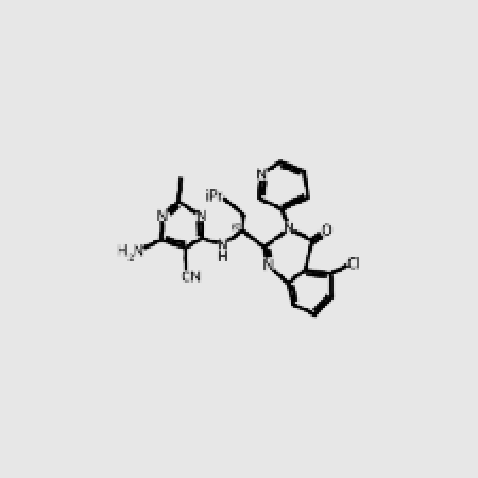 Cc1nc(N)c(C#N)c(N[C@@H](CC(C)C)c2nc3cccc(Cl)c3c(=O)n2-c2cccnc2)n1